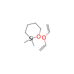 C=COC=C.C[Si]1(C)CCCCO1